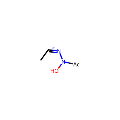 C/C=N\N(O)C(C)=O